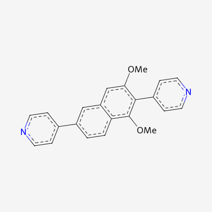 COc1cc2cc(-c3ccncc3)ccc2c(OC)c1-c1ccncc1